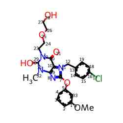 COc1cccc(Oc2nc3c(n2Cc2ccc(Cl)cc2)C(=O)N(CCOCCO)C(O)N3C)c1